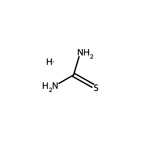 NC(N)=S.[H]